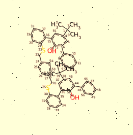 CC(C)(C)c1cc(-c2ccccc2)c(O)c(-c2ccccc2SCc2ccc(CSc3ccccc3-c3cc(C(C)(C)C)cc(-c4ccccc4)c3O)cc2)c1